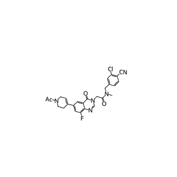 CC(=O)N1CC=C(c2cc(F)c3ncn(CC(=O)N(C)Cc4ccc(C#N)c(Cl)c4)c(=O)c3c2)CC1